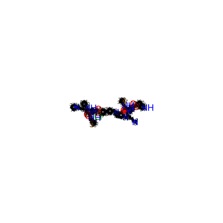 CN(C)CCCC[C@H](C(=O)N1CCN(C(=O)Oc2cccc3c2CCNC3)C[C@H]1C(=O)NCc1cccs1)N(C)C1CCC2(CC1)CCN(Cc1ccc(-c3ccc(OC(=O)N4CCN(C(=O)[C@@H](CCCCN5CCCCC5)NC5CCCCC5)[C@H](C(=O)NCc5cccs5)C4)c(Cl)c3)cc1)C2